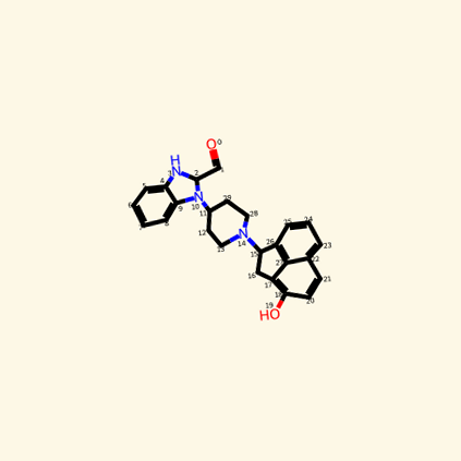 O=CC1Nc2ccccc2N1C1CCN(C2Cc3c(O)ccc4cccc2c34)CC1